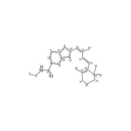 CCNC(=O)c1ccc2cc(C=C(C)C=CC3=C(C)CCCC3(C)C)sc2c1